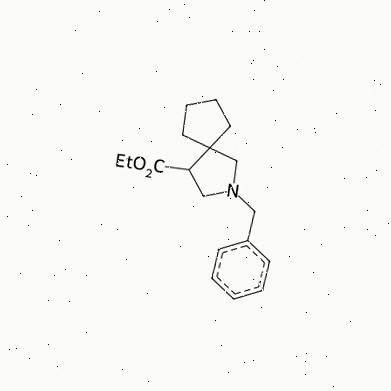 CCOC(=O)C1CN(Cc2ccccc2)CC12CCCC2